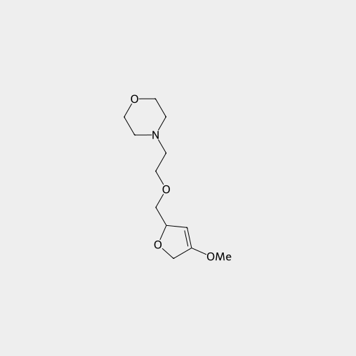 COC1=CC(COCCN2CCOCC2)OC1